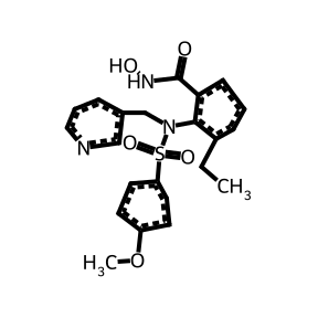 CCc1cccc(C(=O)NO)c1N(Cc1cccnc1)S(=O)(=O)c1ccc(OC)cc1